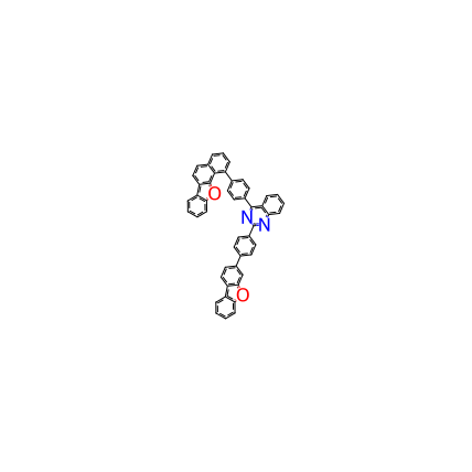 c1cc(-c2ccc(-c3nc(-c4ccc(-c5ccc6c(c5)oc5ccccc56)cc4)nc4ccccc34)cc2)c2c(c1)ccc1c3ccccc3oc12